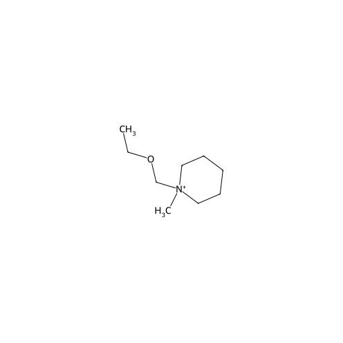 CCOC[N+]1(C)CCCCC1